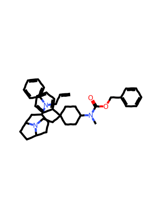 C=CCN(c1ccccc1)C1CCC2CCC(C1)N2CCC1(c2ccccc2)CCC(N(C)C(=O)OCc2ccccc2)CC1